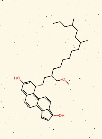 CCCC(C)CCC(C)CCCCCCC(CC[C@H]1C=C(O)C=c2ccc3c4c(ccc3c21)=C(O)C=C4)COC